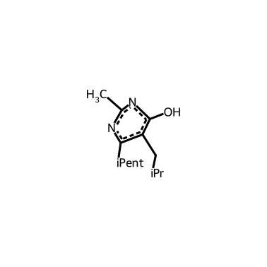 CCCC(C)c1nc(C)nc(O)c1CC(C)C